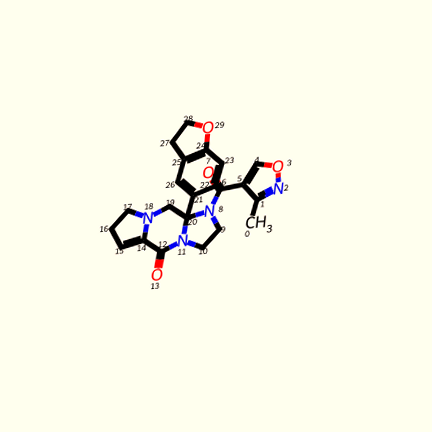 Cc1nocc1C(=O)N1CCN2C(=O)C3=CCCN3CC21c1ccc2c(c1)CCO2